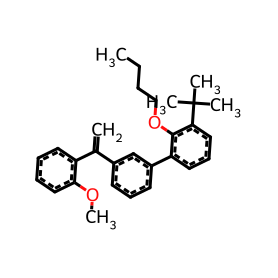 C=C(c1cccc(-c2cccc(C(C)(C)C)c2OCCCC)c1)c1ccccc1OC